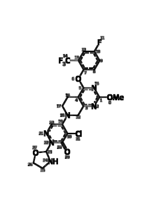 COc1nc2c(c(Oc3ccc(F)cc3C(F)(F)F)n1)CCN(c1cnn(C3NCCO3)c(=O)c1Cl)C2